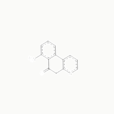 Nc1cccc2c1C(=O)Cc1ncccc1-2